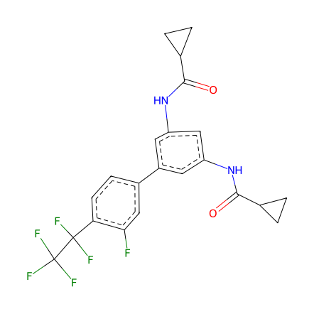 O=C(Nc1cc(NC(=O)C2CC2)cc(-c2ccc(C(F)(F)C(F)(F)F)c(F)c2)c1)C1CC1